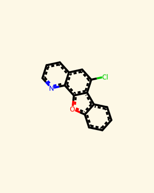 Clc1cc2cccnc2c2oc3ccccc3c12